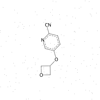 N#Cc1ccc(OC2COC2)cn1